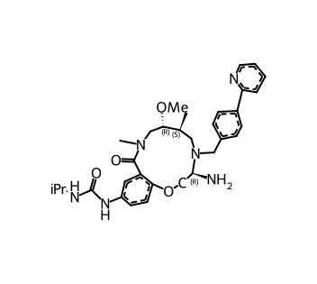 CO[C@H]1CN(C)C(=O)c2cc(NC(=O)NC(C)C)ccc2OC[C@H](N)N(Cc2ccc(-c3ccccn3)cc2)C[C@@H]1C